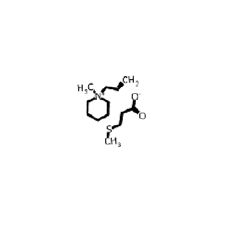 C=CC[N+]1(C)CCCCC1.CSCCC(=O)[O-]